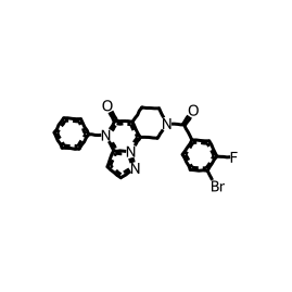 O=C(c1ccc(Br)c(F)c1)N1CCc2c(n3nccc3n(-c3ccccc3)c2=O)C1